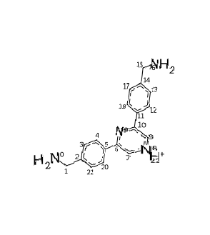 NCc1ccc(-c2cncc(-c3ccc(CN)cc3)n2)cc1.[H+]